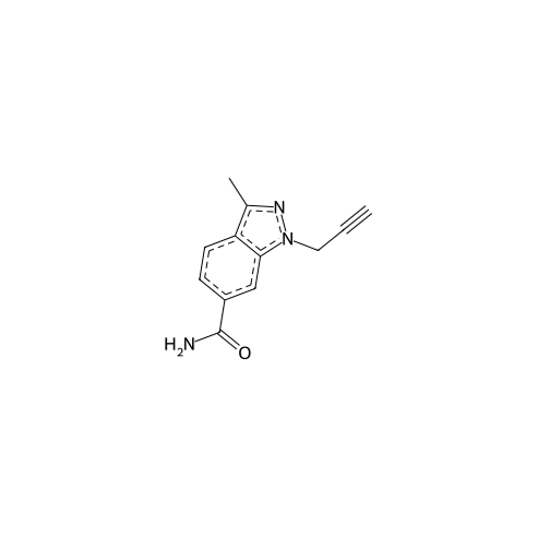 C#CCn1nc(C)c2ccc(C(N)=O)cc21